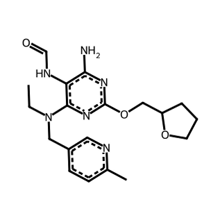 CCN(Cc1ccc(C)nc1)c1nc(OCC2CCCO2)nc(N)c1NC=O